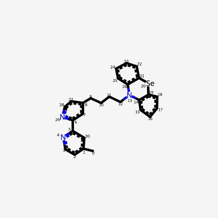 Cc1ccnc(-c2cc(CCCCN3c4ccccc4[Se]c4ccccc43)ccn2)c1